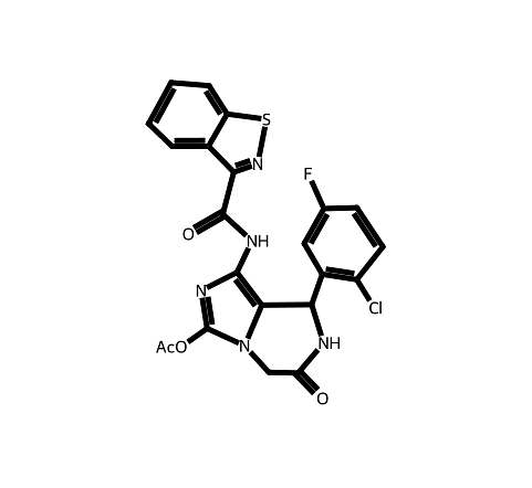 CC(=O)Oc1nc(NC(=O)c2nsc3ccccc23)c2n1CC(=O)NC2c1cc(F)ccc1Cl